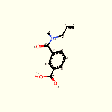 C=CCN(C)C(=O)c1cccc(C(=O)O)c1